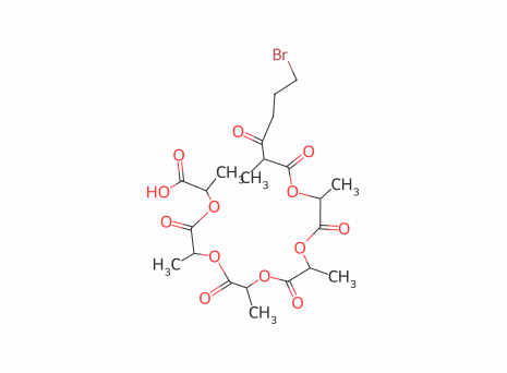 CC(OC(=O)C(C)OC(=O)C(C)OC(=O)C(C)OC(=O)C(C)OC(=O)C(C)C(=O)CCCBr)C(=O)O